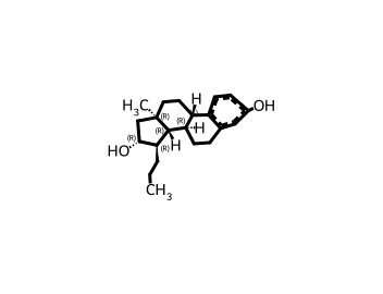 CCC[C@@H]1[C@H]2[C@@H]3CCc4cc(O)ccc4[C@H]3CC[C@]2(C)C[C@H]1O